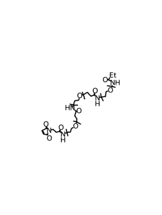 CCC(=O)NC(C)(C)OCCC(C)(C)NC(=O)CCC(C)(C)OCCC(C)(C)NC(=O)CCC(C)(C)OCCC(C)(C)NC(=O)CCN1C(=O)C=CC1=O